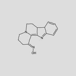 ON=C1CCCN2CCC3C(=C12)N=C1C=CC=CC13